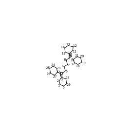 C1CCC(P(CCCCP(C2CCCCC2)C2CCCCC2)C2CCCCC2)CC1